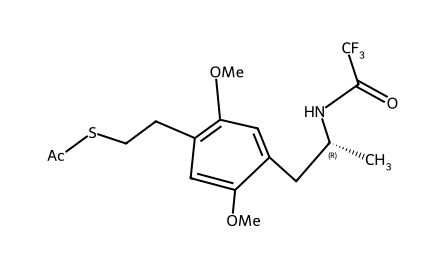 COc1cc(C[C@@H](C)NC(=O)C(F)(F)F)c(OC)cc1CCSC(C)=O